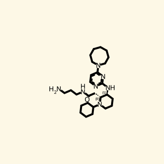 NCCCNC(=O)C[C@@H]1[C@@H](Nc2nccc(N3CCCCCCC3)n2)CCCN1C1CCCCC1